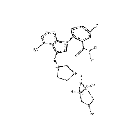 CC(=O)N1C[C@@H]2[C@@H](CN3CC[C@@H](Cc4cn(-c5ccc(F)cc5C(=O)N(C)C(C)C)c5cncc(C)c45)C3)[C@@H]2C1